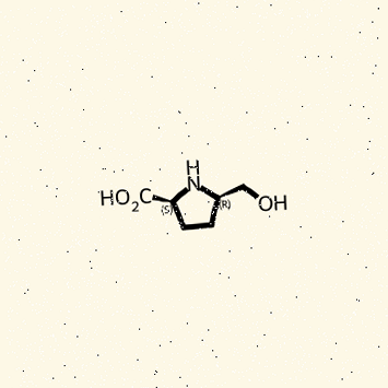 O=C(O)[C@@H]1CC[C@H](CO)N1